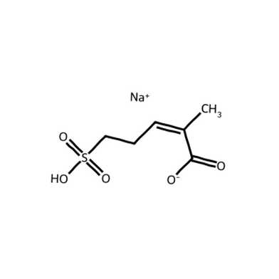 CC(=CCCS(=O)(=O)O)C(=O)[O-].[Na+]